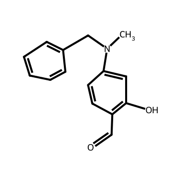 CN(Cc1ccccc1)c1ccc(C=O)c(O)c1